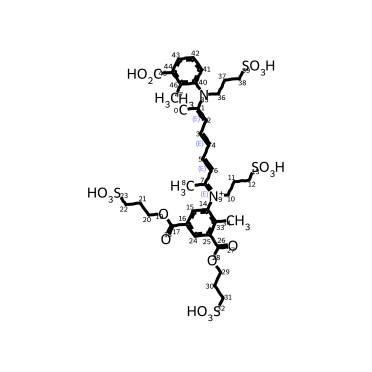 C\C(=C/C=C/C=C/C(C)=[N+](\CCCS(=O)(=O)O)c1cc(C(=O)OCCCS(=O)(=O)O)cc(C(=O)OCCCS(=O)(=O)O)c1C)N(CCCS(=O)(=O)O)c1cccc(C(=O)O)c1C